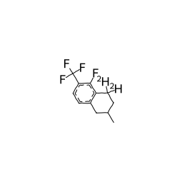 [2H]C1([2H])CC(C)Cc2ccc(C(F)(F)F)c(F)c21